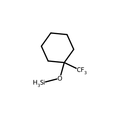 FC(F)(F)C1(O[SiH3])CCCCC1